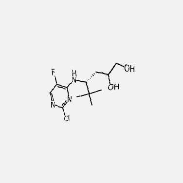 CC(C)(C)[C@@H](CC(O)CO)Nc1nc(Cl)ncc1F